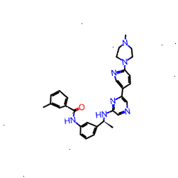 Cc1cccc(C(=O)Nc2cccc([C@H](C)Nc3cncc(-c4ccc(N5CCN(C)CC5)nc4)n3)c2)c1